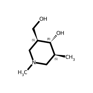 C[C@H]1CN(C)C[C@@H](CO)[C@@H]1O